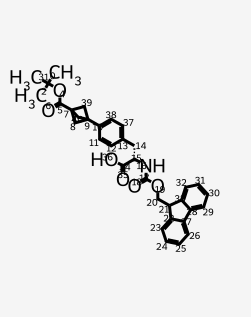 CC(C)(C)OC(=O)C12CC(c3ccc(C[C@H](NC(=O)OCC4c5ccccc5-c5ccccc54)C(=O)O)cc3)(C1)C2